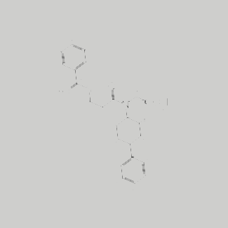 C[C@H](CSC(=O)c1ccccc1)C(=O)N(CC(=O)O)C1CCC(c2ccccc2)CC1